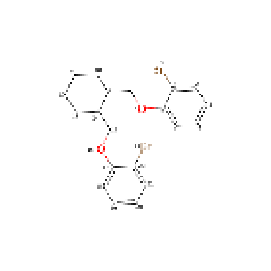 Brc1ccccc1OCC1CCCCC1COc1ccccc1Br